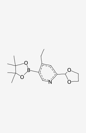 CCc1cc(C2OCCO2)ncc1B1OC(C)(C)C(C)(C)O1